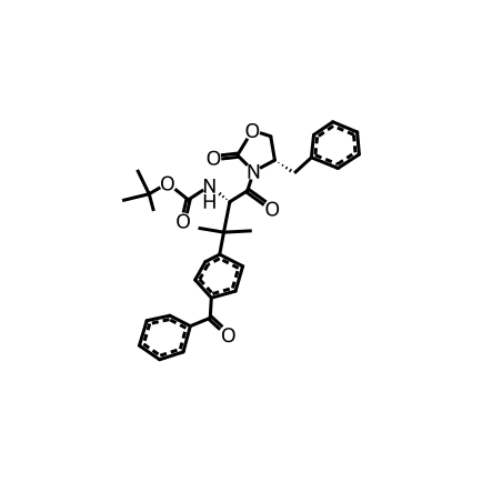 CC(C)(C)OC(=O)N[C@H](C(=O)N1C(=O)OC[C@@H]1Cc1ccccc1)C(C)(C)c1ccc(C(=O)c2ccccc2)cc1